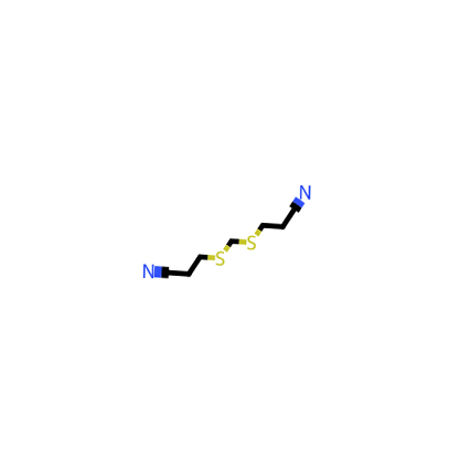 N#CCCSCSCCC#N